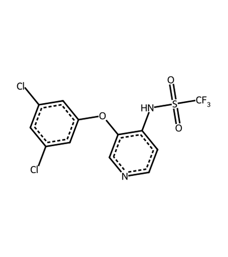 O=S(=O)(Nc1ccncc1Oc1cc(Cl)cc(Cl)c1)C(F)(F)F